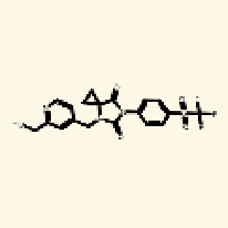 O=C1N(c2ccc(S(=O)(=O)C(F)(F)F)cc2)C(=O)C2(CC2)N1Cc1ccnc(CO)c1